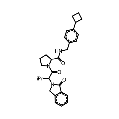 CC(C)C(C(=O)N1CCC[C@H]1C(=O)NCc1ccc(C2CCC2)cc1)N1Cc2ccccc2C1=O